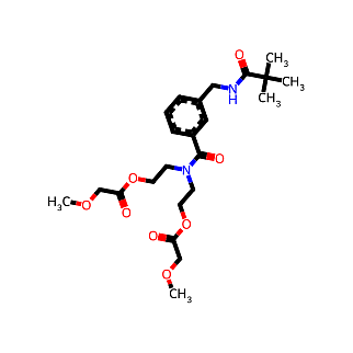 COCC(=O)OCCN(CCOC(=O)COC)C(=O)c1cccc(CNC(=O)C(C)(C)C)c1